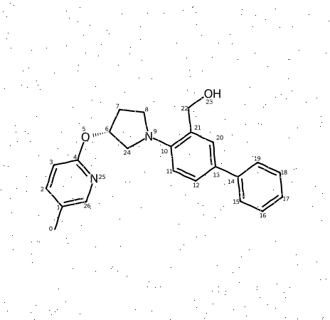 Cc1ccc(O[C@@H]2CCN(c3ccc(-c4ccccc4)cc3CO)C2)nc1